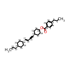 CCCc1ccc(C(=O)O[C@H]2CC[C@H](C#CC=C[C@H]3CC[C@H](CCC)CC3)CC2)cc1